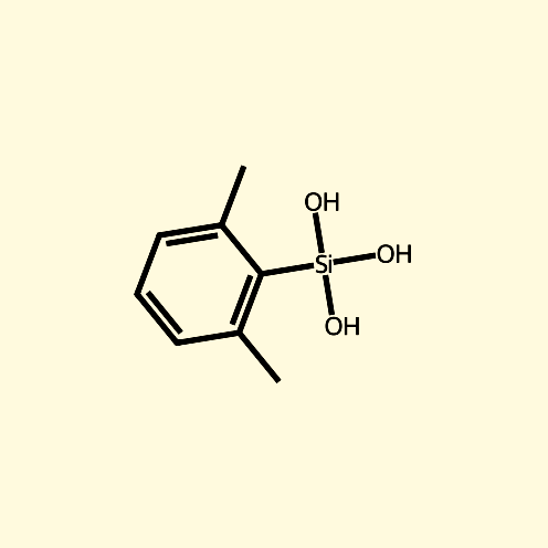 Cc1cccc(C)c1[Si](O)(O)O